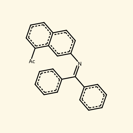 CC(=O)c1cccc2ccc(N=C(c3ccccc3)c3ccccc3)cc12